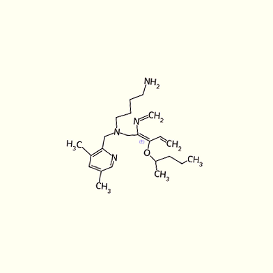 C=C/C(OC(C)CCC)=C(/CN(CCCCN)Cc1ncc(C)cc1C)N=C